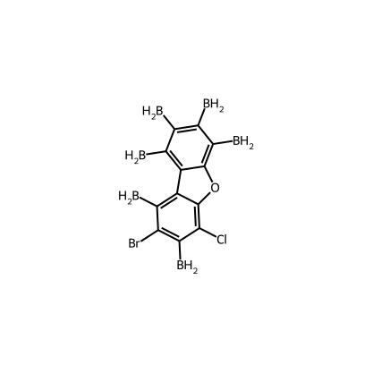 Bc1c(B)c(B)c2c(oc3c(Cl)c(B)c(Br)c(B)c32)c1B